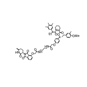 C=C1CCC(N2C(=O)c3cccc(OCC(=O)NCCCCNC(=O)COc4ccc([C@@H](CCc5ccc(OC)c(C)c5)OC(=O)[C@@H]5CCCCN5C(=O)[C@@H](CC)c5cc(C)c(C)c(C)c5)cc4)c3C2=O)C(=O)N1